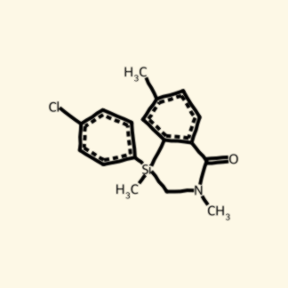 Cc1ccc2c(c1)[Si](C)(c1ccc(Cl)cc1)CN(C)C2=O